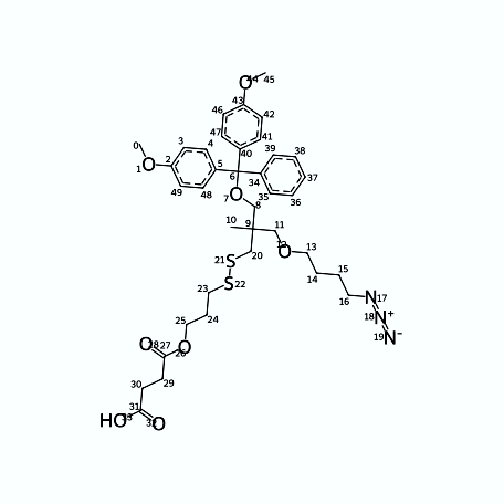 COc1ccc(C(OCC(C)(COCCCCN=[N+]=[N-])CSSCCCOC(=O)CCC(=O)O)(c2ccccc2)c2ccc(OC)cc2)cc1